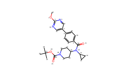 COc1ncc(-c2ccc(C(=O)N(C3CC3)C3CCN(C(=O)OC(C)(C)C)CC3)cc2)cn1